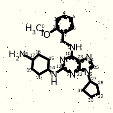 COc1ccccc1CNc1nc(NC2CCC(N)CC2)nc2c1ncn2C1CCCC1